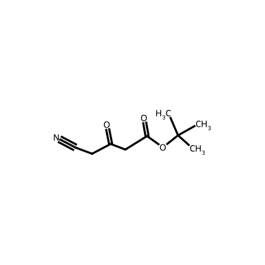 CC(C)(C)OC(=O)CC(=O)CC#N